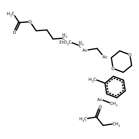 C1COCCO1.CC(=O)CC(C)=O.CC(C)=O.CCC(C)=O.CCCCOC(C)=O.CCOC(C)=O.Cc1ccccc1